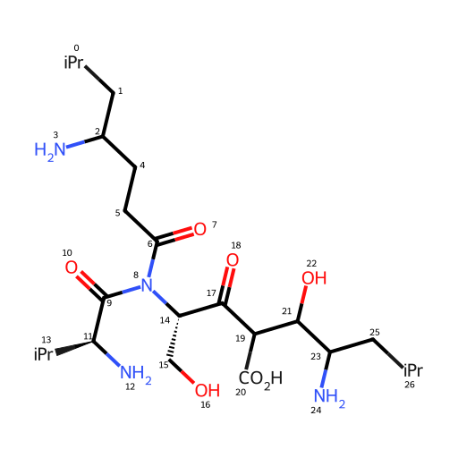 CC(C)CC(N)CCC(=O)N(C(=O)[C@@H](N)C(C)C)[C@@H](CO)C(=O)C(C(=O)O)C(O)C(N)CC(C)C